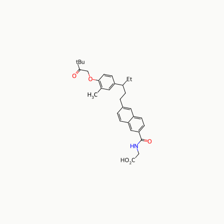 CCC(CCc1ccc2cc(C(=O)NCC(=O)O)ccc2c1)c1ccc(OCC(=O)C(C)(C)C)c(C)c1